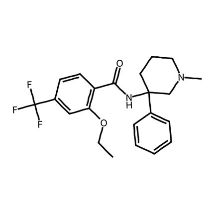 CCOc1cc(C(F)(F)F)ccc1C(=O)NC1(c2ccccc2)CCCN(C)C1